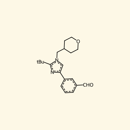 CC(C)(C)c1nc(-c2cccc(C=O)c2)cn1CC1CCOCC1